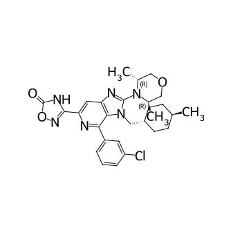 C[C@@H]1COC[C@@H](C)N1c1nc2cc(-c3noc(=O)[nH]3)nc(-c3cccc(Cl)c3)c2n1C[C@H]1CC[C@H](C)CC1